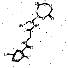 CC(C)C[C@H](NC(=O)CNC(=O)c1cc(Cl)ccc1Cl)B1OC(=O)CO[C@H](C)C(=O)O1